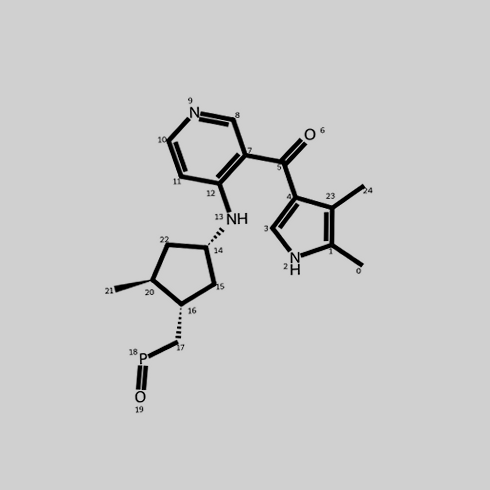 Cc1[nH]cc(C(=O)c2cnccc2N[C@@H]2C[C@H](CP=O)[C@@H](C)C2)c1C